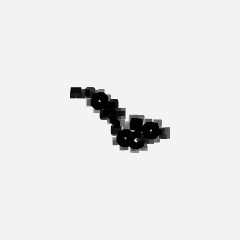 COc1ccc(S(=O)(=O)NCCOc2ccc3c(c2)C(C2(c4ccc(Cl)cc4)CCC2)NCC3)cc1